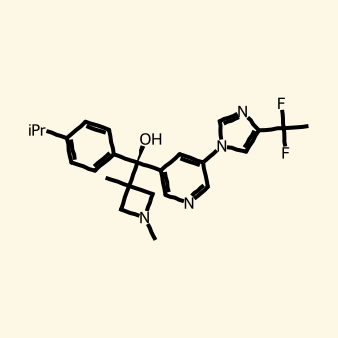 CC(C)c1ccc([C@](O)(c2cncc(-n3cnc(C(C)(F)F)c3)c2)C2(C)CN(C)C2)cc1